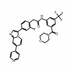 O=C(Cc1ccc(-c2cnc3cc(-c4ccncc4)ccn23)cc1F)Nc1cc(C(=O)N2CCOCC2)cc(C(F)(F)F)c1